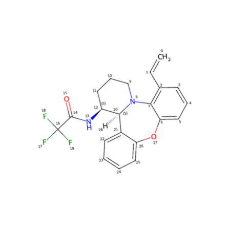 C=Cc1cccc2c1N1CCC[C@H](NC(=O)C(F)(F)F)[C@@H]1c1ccccc1O2